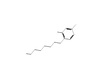 CC(C)c1ccc(CCCCCCCS)c(F)c1